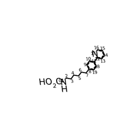 O=C(O)NCCCCCCc1ccc(-c2ccccn2)cc1